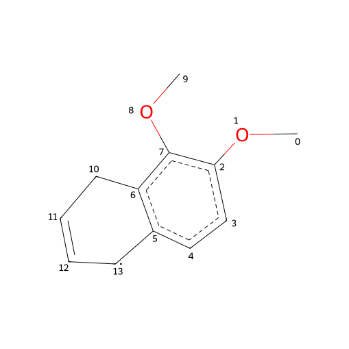 COc1ccc2c(c1OC)CC=C[CH]2